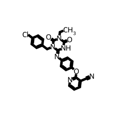 CCn1c(=O)[nH]/c(=N\c2ccc(Oc3ncccc3C#N)cc2)n(Cc2ccc(Cl)cc2)c1=O